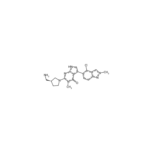 Cn1cc2c(Cl)c(-c3c[nH]c4nc(N5CC[C@@H](CN)C5)n(C)c(=O)c34)ccc2n1